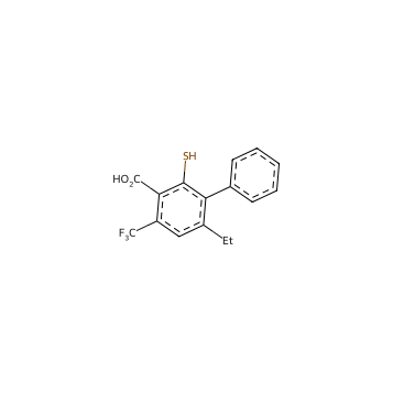 CCc1cc(C(F)(F)F)c(C(=O)O)c(S)c1-c1ccccc1